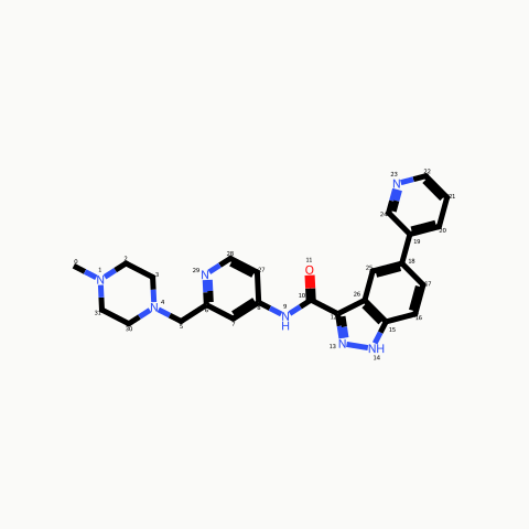 CN1CCN(Cc2cc(NC(=O)c3n[nH]c4ccc(-c5cccnc5)cc34)ccn2)CC1